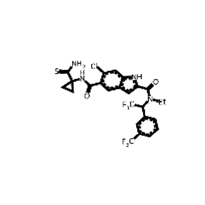 CCN(C(=O)c1cc2cc(C(=O)NC3(C(N)=S)CC3)c(Cl)cc2[nH]1)C(c1cccc(C(F)(F)F)c1)C(F)(F)F